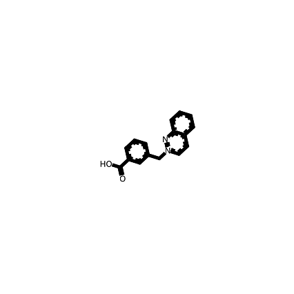 O=C(O)c1cccc(C[n+]2ccc3ccccc3n2)c1